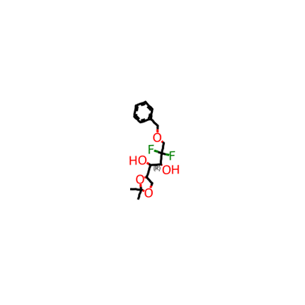 CC1(C)OCC(C(O)[C@@H](O)C(F)(F)COCc2ccccc2)O1